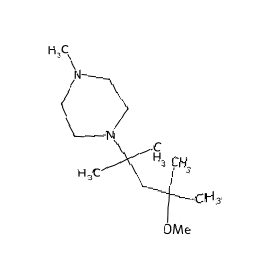 COC(C)(C)CC(C)(C)N1CCN(C)CC1